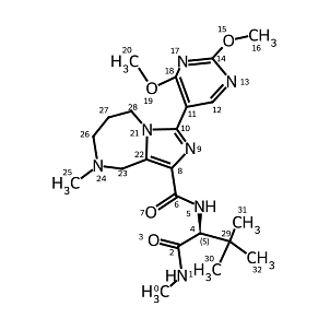 CNC(=O)[C@@H](NC(=O)c1nc(-c2cnc(OC)nc2OC)n2c1CN(C)CCC2)C(C)(C)C